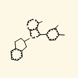 Nc1ncnc2c1c(-c1ccc(Cl)c(O)c1)nn2C1CCc2ccccc2C1